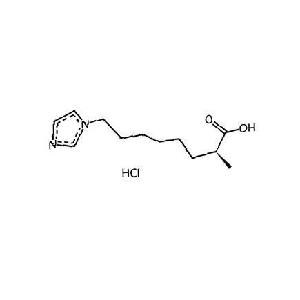 C[C@@H](CCCCCCn1ccnc1)C(=O)O.Cl